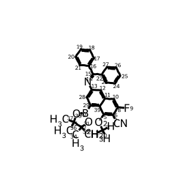 [2H]C([2H])([2H])Oc1c(C#N)c(F)cc2cc(N=C(c3ccccc3)c3ccccc3)cc(B3OC(C)(C)C(C)(C)O3)c12